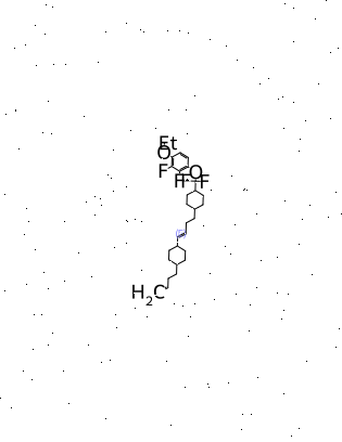 C=CCCC1CCC(/C=C/CCC2CCC(C(F)(F)Oc3ccc(OCC)c(F)c3F)CC2)CC1